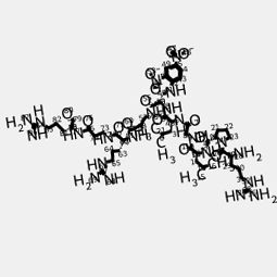 CC(C)C[C@H](NC(=O)CNC(=O)[C@H](CC(C)C)NC(=O)[C@@H]1CCCN1C(=O)[C@H](N)CCCNC(=N)N)C(=O)N[C@@H](CNc1ccc([N+](=O)[O-])cc1[N+](=O)[O-])C(=O)NCCC(=O)N[C@H](CCCNC(=N)N)C(=O)NCCC(=O)N[C@@H]([C]=O)CCCNC(=N)N